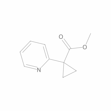 COC(=O)C1(c2ccccn2)CC1